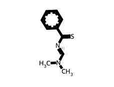 CN(C)/C=N/C(=S)c1ccccc1